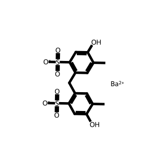 Cc1cc(Cc2cc(C)c(O)cc2S(=O)(=O)[O-])c(S(=O)(=O)[O-])cc1O.[Ba+2]